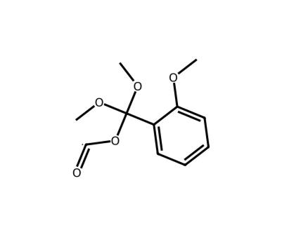 COc1ccccc1C(OC)(OC)O[C]=O